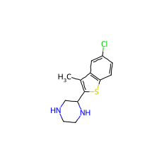 Cc1c(C2CNCCN2)sc2ccc(Cl)cc12